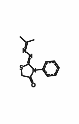 CC(C)=NN=C1SCC(=O)N1c1ccccc1